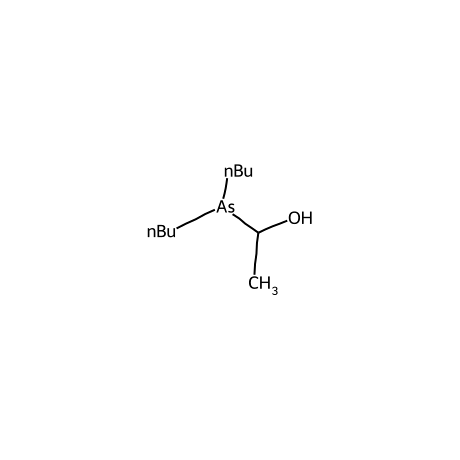 CCCC[As](CCCC)C(C)O